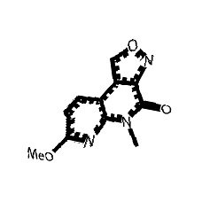 COc1ccc2c3conc3c(=O)n(C)c2n1